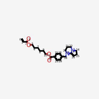 C=CC(=O)OCCCCCCOC(=O)c1ccc(CN2CCCN3CCC=C32)cc1